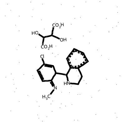 CN=C1C=CC(Cl)=CC1C1NCCc2ccccc21.O=C(O)C(O)C(O)C(=O)O